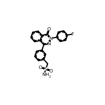 NS(=O)(=O)Cc1cccc(-c2nn(-c3ccc(F)cc3)c(=O)c3ccccc23)c1